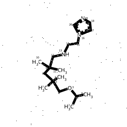 CC(C)OCC(C)(C)CC(C)(C)CNCCn1ccnc1